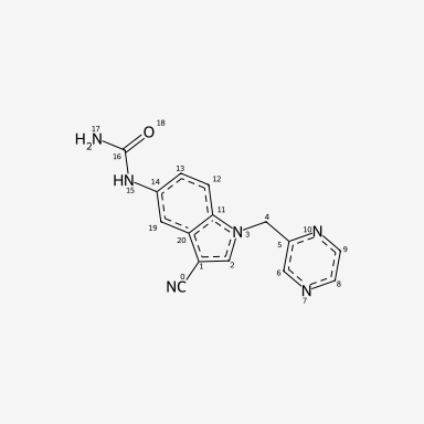 N#Cc1cn(Cc2cnccn2)c2ccc(NC(N)=O)cc12